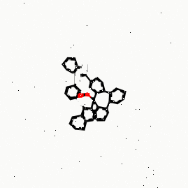 c1ccc(-n2c(-c3ccc4c(c3)C3(c5ccccc5Sc5c3ccc3ccccc53)c3ccccc3-c3ccccc3-4)nc3ccccc32)cc1